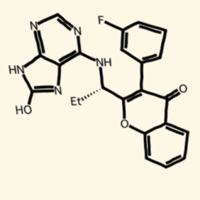 CC[C@H](Nc1ncnc2[nH]c(O)nc12)c1oc2ccccc2c(=O)c1-c1cccc(F)c1